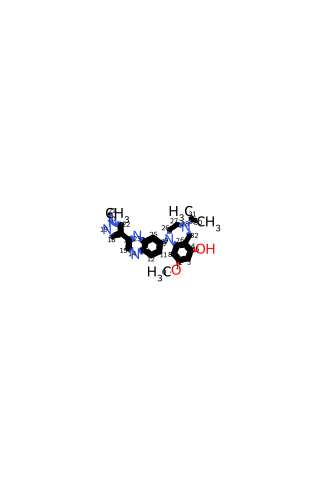 COc1cc(O)c2c(c1)N(c1ccc3ncc(-c4cnn(C)c4)nc3c1)CCN(C(C)C)C2